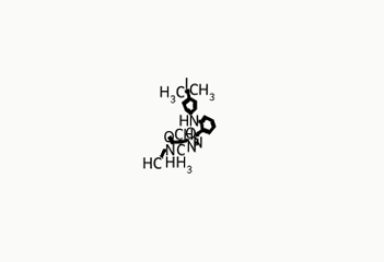 C#CCNC(=O)C(C)(C)c1nnc(-c2ccccc2Nc2ccc(C(C)(C)I)cc2)o1